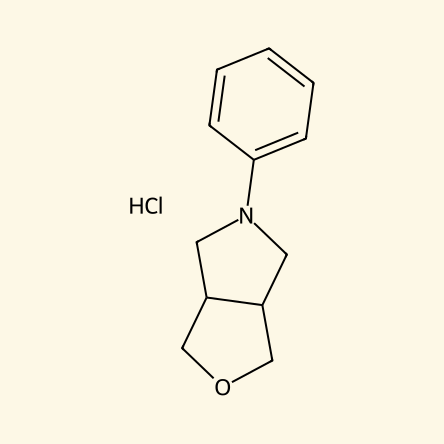 Cl.c1ccc(N2CC3COCC3C2)cc1